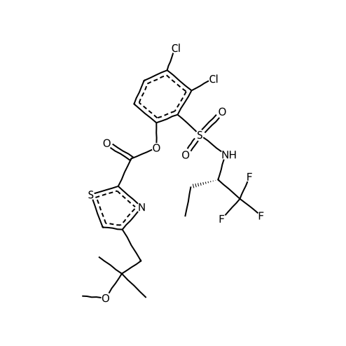 CC[C@H](NS(=O)(=O)c1c(OC(=O)c2nc(CC(C)(C)OC)cs2)ccc(Cl)c1Cl)C(F)(F)F